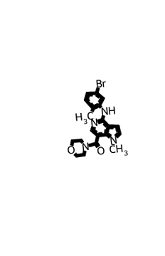 Cc1ccc(Br)cc1Nc1ncc(C(=O)N2CCOCC2)c2c1ccn2C